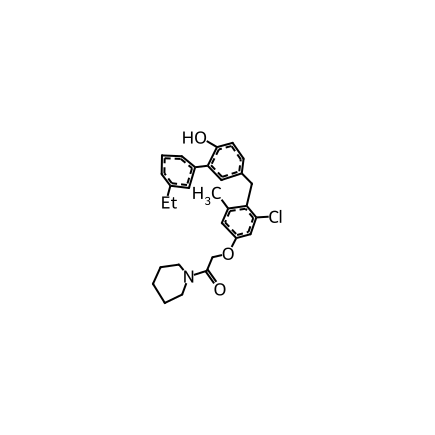 CCc1cccc(-c2cc(Cc3c(C)cc(OCC(=O)N4CCCCC4)cc3Cl)ccc2O)c1